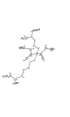 CCCCCC(CCCC(CCCCCC(CCC)C(=O)OCC)(C(=O)OC(C)(C)C)C(=O)OC(C)(C)C)OC(C)=O